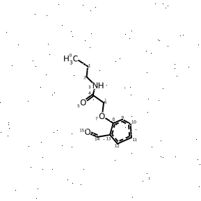 CCCNC(=O)COc1ccccc1C=O